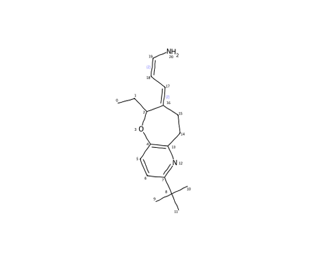 CCC1Oc2ccc(C(C)(C)C)nc2CC/C1=C/C=C\N